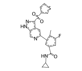 Cc1c(F)cc(C(=O)NC2CC2)cc1-c1cc2c(S(=O)(=O)c3ccsc3)n[nH]c2cn1